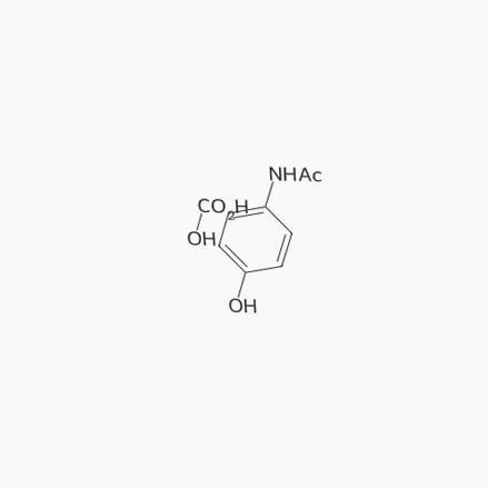 CC(=O)Nc1ccc(O)cc1.O=C(O)O